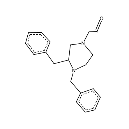 O=[C]CN1CCN(Cc2ccccc2)C(Cc2ccccc2)C1